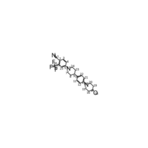 N#Cc1ccc(N2CCC(c3ccc(N4CCC(=O)CC4)cc3)CC2)cc1C(F)(F)F